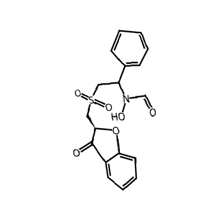 O=CN(O)C(CS(=O)(=O)C[C@H]1Oc2ccccc2C1=O)c1ccccc1